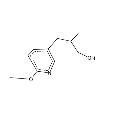 COc1ccc(CC(C)CO)cn1